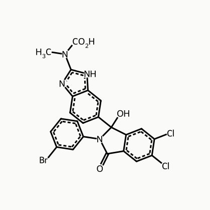 CN(C(=O)O)c1nc2ccc(C3(O)c4cc(Cl)c(Cl)cc4C(=O)N3c3cccc(Br)c3)cc2[nH]1